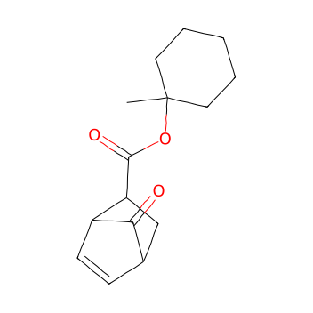 CC1(OC(=O)C2CC3C=CC2C3=O)CCCCC1